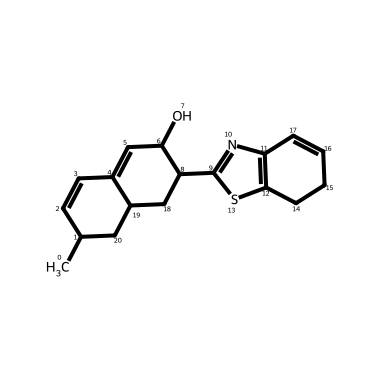 CC1C=CC2=CC(O)C(c3nc4c(s3)CCC=C4)CC2C1